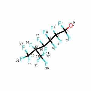 [O]C(F)(F)C(F)(F)C(F)(F)C(F)(F)C(F)(C(F)(F)F)C(F)(F)F